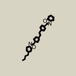 CCCCc1ccc2nc(-c3ccc(/C=C/c4ccc(-c5nc6ccccc6o5)cc4)cc3)oc2c1